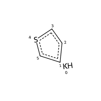 [KH].c1ccsc1